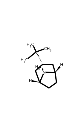 CN1[C@@H]2CC[C@H]1C[C@@H](C(C)(C)C)C2